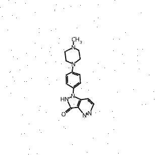 CN1CCN(c2ccc(-n3[nH]c(=O)c4nnccc43)cc2)CC1